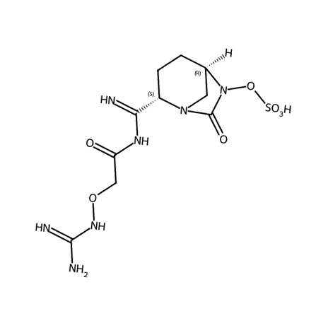 N=C(N)NOCC(=O)NC(=N)[C@@H]1CC[C@@H]2CN1C(=O)N2OS(=O)(=O)O